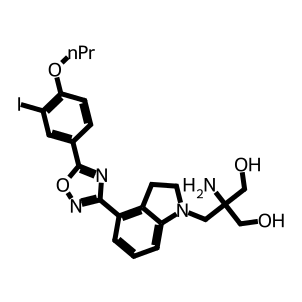 CCCOc1ccc(-c2nc(-c3cccc4c3CCN4CC(N)(CO)CO)no2)cc1I